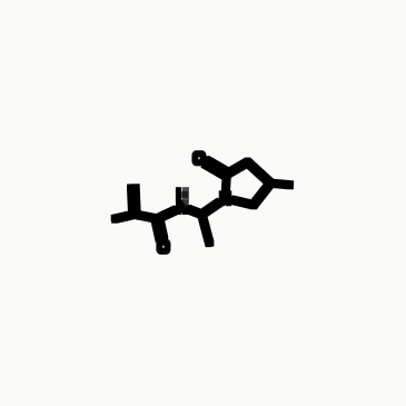 C=C(C)C(=O)NC(C)N1CC(C)CC1=O